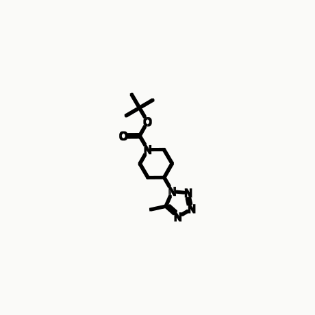 Cc1nnnn1C1CCN(C(=O)OC(C)(C)C)CC1